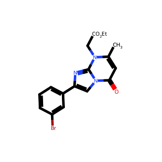 CCOC(=O)Cn1c(C)cc(=O)n2cc(-c3cccc(Br)c3)nc12